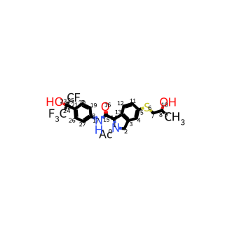 CC(=O)N1Cc2cc(SCC(C)O)ccc2C1C(=O)Nc1ccc(C(O)(C(F)(F)F)C(F)(F)F)cc1